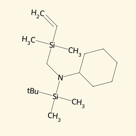 C=C[Si](C)(C)CN(C1CCCCC1)[Si](C)(C)C(C)(C)C